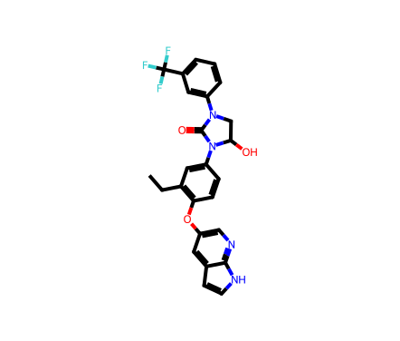 CCc1cc(N2C(=O)N(c3cccc(C(F)(F)F)c3)CC2O)ccc1Oc1cnc2[nH]ccc2c1